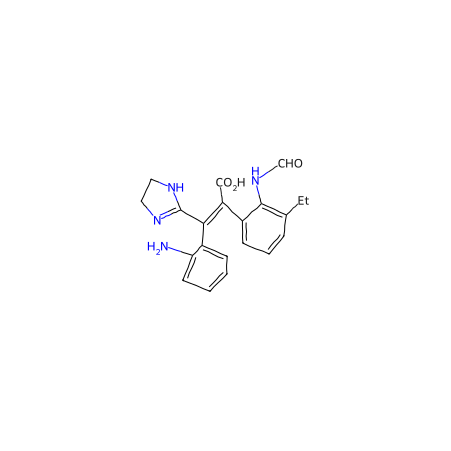 CCc1cccc(C(C(=O)O)=C(C2=NCCN2)c2ccccc2N)c1NC=O